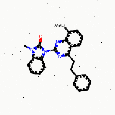 COc1cccc2c(CCc3ccccc3)nc(-n3c(=O)n(C)c4ccccc43)nc12